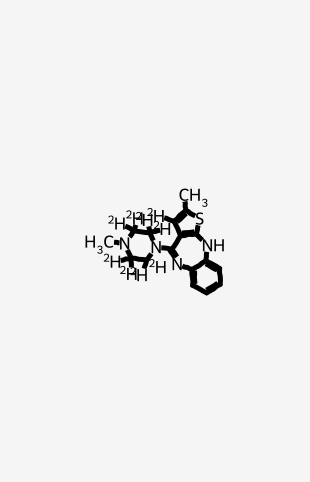 [2H]c1c(C)sc2c1C(N1C([2H])([2H])C([2H])([2H])N(C)C([2H])([2H])C1([2H])[2H])=Nc1ccccc1N2